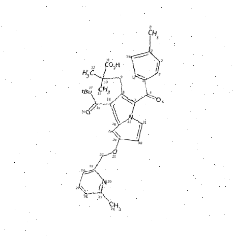 Cc1ccc(C(=O)c2c(CC(C)(C)C(=O)O)c(C(=O)C(C)(C)C)c3cc(OCc4cccc(C)n4)ccn23)cc1